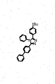 CC(C)(C)c1ccc(-c2nnc(C3=C=C=C(c4ccccc4)C=C3)n2-c2ccccc2)cc1